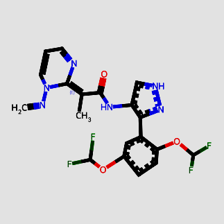 C=NN1C=CC=N/C1=C(/C)C(=O)Nc1c[nH]nc1-c1cc(OC(F)F)ccc1OC(F)F